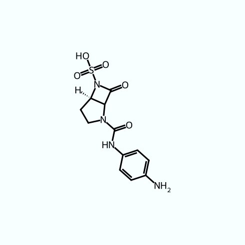 Nc1ccc(NC(=O)N2CC[C@@H]3C2C(=O)N3S(=O)(=O)O)cc1